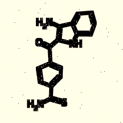 NC(=S)c1ccc(C(=O)c2[nH]c3ccccc3c2N)cc1